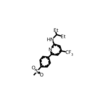 CCC(CC)Nc1cc(C(F)(F)F)cc(-c2ccc(S(C)(=O)=O)cc2)n1